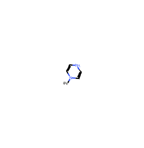 CC(C)N1C=CNC=C1